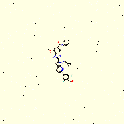 COc1cc(C(=O)N2CC3CCC2C3C)cc2nc(-c3cc4ccc(-c5cc(F)c(CO)c(F)c5)nc4n3CC3CC3)n(C)c12